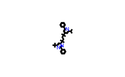 CC(C)c1cc(C(C)(C)CCC(C)(C)c2cc(C(C)(C)C)nc(-c3ccccc3)n2)cc(-c2ccccc2)n1